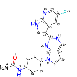 CNC(=O)NC1CCC(n2ccc3cnc(-c4c[nH]c5ncc(F)cc45)nc32)CC1